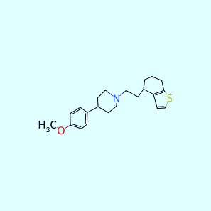 COc1ccc(C2CCN(CCC3CCCc4sccc43)CC2)cc1